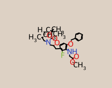 COC(=O)CNc1c(OCc2ccccc2)cc2c(c1F)CC(CN(CC(C)C)C(=O)OC(C)(C)C)O2